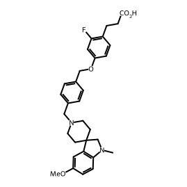 COc1ccc2c(c1)C1(CCN(Cc3ccc(COc4ccc(CCC(=O)O)c(F)c4)cc3)CC1)CN2C